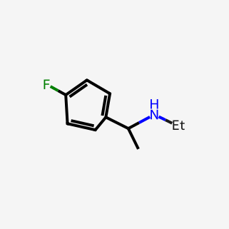 CCNC(C)c1ccc(F)cc1